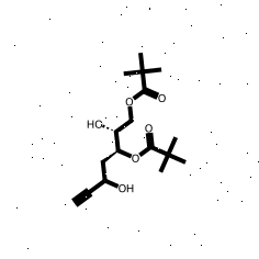 C#CC(O)C[C@H](OC(=O)C(C)(C)C)[C@H](O)COC(=O)C(C)(C)C